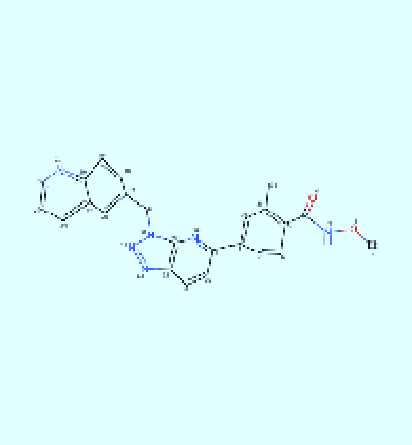 [CH2]CONC(=O)c1ccc(-c2ccc3nnn(Cc4ccc5ncccc5c4)c3n2)cc1C